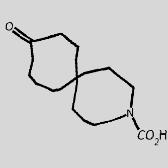 O=C1CCC2(CC1)CCN(C(=O)O)CC2